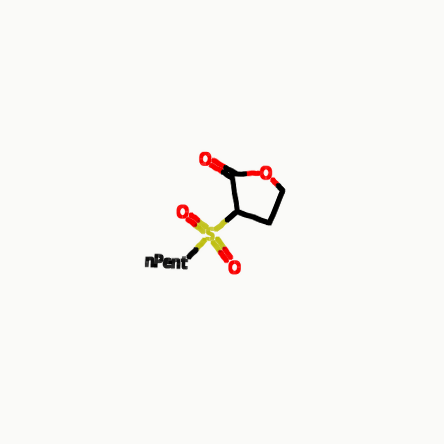 CCCCCS(=O)(=O)C1CCOC1=O